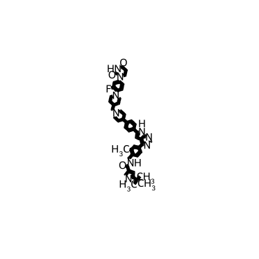 Cc1cc(-c2ncnc3[nH]c(-c4ccc(C5CCN(CC6CCN(c7ccc(N8CCC(=O)NC8=O)cc7F)CC6)CC5)cc4)cc23)ccc1CNC(=O)C1=CC(C(C)(C)C)=NC1